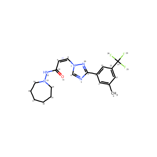 Cc1cc(-c2ncn(/C=C\C(=O)NN3CCCCCC3)n2)cc(C(F)(F)F)c1